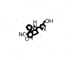 C[C@@H]1C(=O)C(C#N)=C[C@]2(c3ccccc3)c3n[nH]c(-c4cncc(CO)c4)c3CCC12